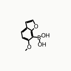 COc1ccc2ccoc2c1B(O)O